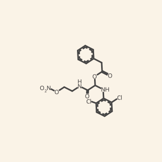 O=C(Cc1ccccc1)OC(Nc1c(Cl)cccc1Cl)C(=O)NCCO[N+](=O)[O-]